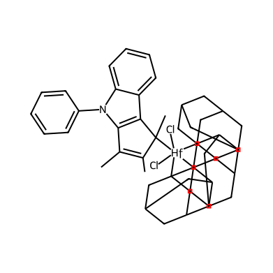 CC1=C(C)[C](C)([Hf]([Cl])([Cl])([C]23CC4CC(CC(C4)C2)C3)([C]23CC4CC(CC(C4)C2)C3)[C]23CC4CC(CC(C4)C2)C3)c2c1n(-c1ccccc1)c1ccccc21